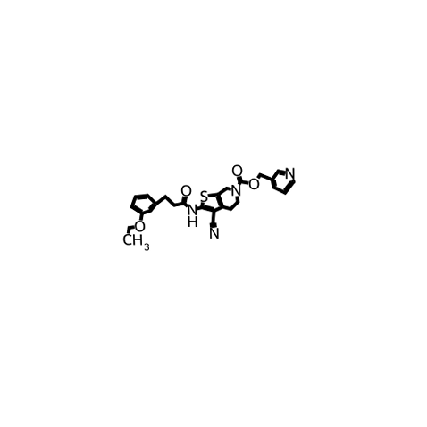 CCOc1cccc(CCC(=O)Nc2sc3c(c2C#N)CCN(C(=O)OCc2cccnc2)C3)c1